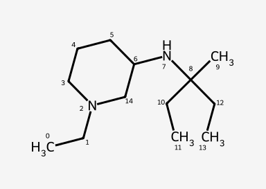 CCN1CCCC(NC(C)(CC)CC)C1